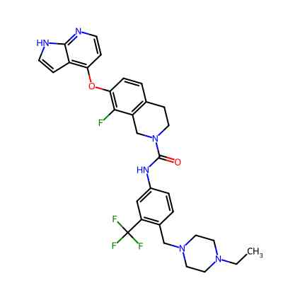 CCN1CCN(Cc2ccc(NC(=O)N3CCc4ccc(Oc5ccnc6[nH]ccc56)c(F)c4C3)cc2C(F)(F)F)CC1